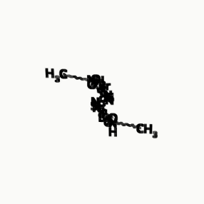 CCCCCCCCCCNS(=O)(=O)CCc1cc(-c2cc3c(cc(-c4cc(CCS(=O)(=O)NCCCCCCCCCC)c(Br)s4)c4nsnc43)c3nsnc23)sc1Br